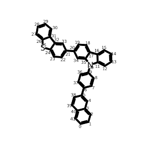 c1ccc2cc(-c3ccc(-n4c5ccccc5c5ccc(-c6ccc7sc8ccccc8c7c6)cc54)cc3)ccc2c1